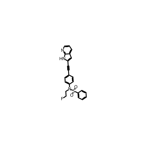 O=S(=O)(c1ccccc1)N(CCF)c1ccc(C#Cc2cc3cccnc3[nH]2)cc1